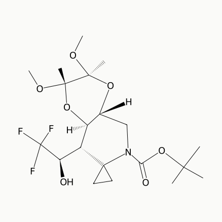 CO[C@@]1(C)O[C@@H]2[C@@H]([C@@H](O)C(F)(F)F)C3(CC3)N(C(=O)OC(C)(C)C)C[C@H]2O[C@]1(C)OC